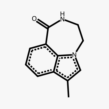 Cc1cn2c3c(cccc13)C(=O)NCC2